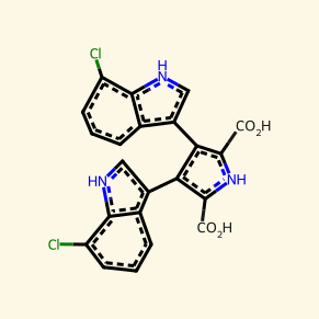 O=C(O)c1[nH]c(C(=O)O)c(-c2c[nH]c3c(Cl)cccc23)c1-c1c[nH]c2c(Cl)cccc12